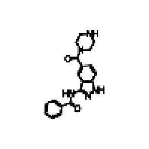 O=C(Nc1n[nH]c2ccc(C(=O)N3CCNCC3)cc12)c1ccccc1